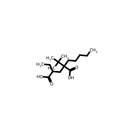 CCCCCC(CC(CC)C(=O)O)(C(=O)O)C(C)(C)C